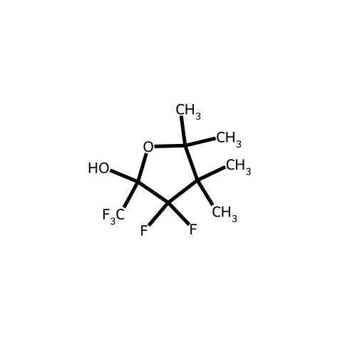 CC1(C)OC(O)(C(F)(F)F)C(F)(F)C1(C)C